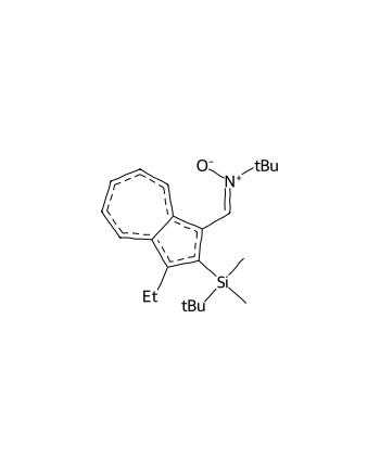 CCc1c2cccccc-2c(/C=[N+](\[O-])C(C)(C)C)c1[Si](C)(C)C(C)(C)C